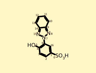 O=S(=O)(O)c1ccc(O)c(-n2nc3ccccc3n2)c1